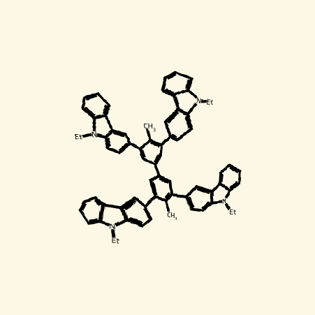 CCn1c2ccccc2c2cc(-c3cc(-c4cc(-c5ccc6c(c5)c5ccccc5n6CC)c(C)c(-c5ccc6c(c5)c5ccccc5n6CC)c4)cc(-c4ccc5c(c4)c4ccccc4n5CC)c3C)ccc21